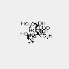 CC(=O)O.CCC(O)C(=O)O.CO.C[N+](C)(C)CCO.O=C(O)CC(O)(CC(=O)O)C(=O)[O-]